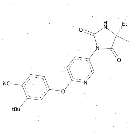 CC[C@@]1(C)NC(=O)N(c2ccc(Oc3ccc(C#N)c(C(C)(C)C)c3)nc2)C1=O